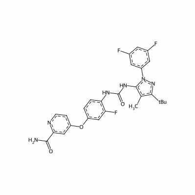 Cc1c(C(C)(C)C)nn(-c2cc(F)cc(F)c2)c1NC(=O)Nc1ccc(Oc2ccnc(C(N)=O)c2)cc1F